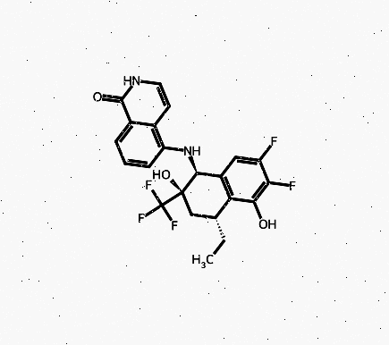 CC[C@@H]1C[C@](O)(C(F)(F)F)[C@@H](Nc2cccc3c(=O)[nH]ccc23)c2cc(F)c(F)c(O)c21